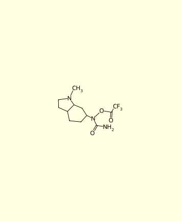 CN1CCC2CCC(N(OC(=O)C(F)(F)F)C(N)=O)CC21